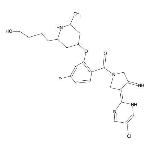 CC1CC(Oc2cc(F)ccc2C(=O)N2CC(=N)/C(=C3/N=CC(Cl)=CN3)C2)CC(CCCCO)N1